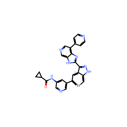 C=C(/C=c1/c(-c2nc3c(-c4ccncc4)cncc3[nH]2)n[nH]/c1=C/CC)c1cncc(NC(=O)C2CC2)c1